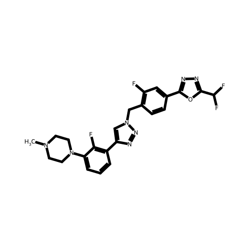 CN1CCN(c2cccc(-c3cn(Cc4ccc(-c5nnc(C(F)F)o5)cc4F)nn3)c2F)CC1